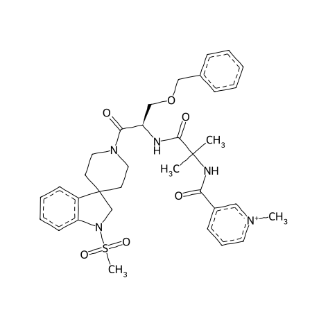 C[n+]1cccc(C(=O)NC(C)(C)C(=O)N[C@H](COCc2ccccc2)C(=O)N2CCC3(CC2)CN(S(C)(=O)=O)c2ccccc23)c1